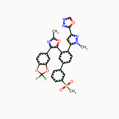 Cc1nc(-c2ccc3c(c2)OC(F)(F)O3)c(-c2cc(-c3cccc(S(C)(=O)=O)c3)ccc2-c2cc(-c3nnco3)nn2C)o1